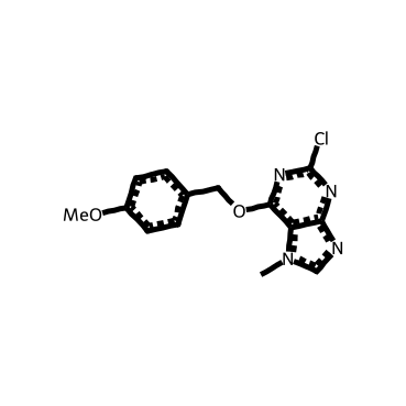 COc1ccc(COc2nc(Cl)nc3ncn(C)c23)cc1